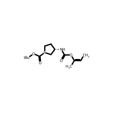 C/C=C(/C)OC(=O)N[C@H]1CCN(C(=O)OC(C)(C)C)C1